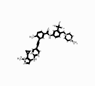 Cc1ccc(C(=O)Nc2ccc(CN3CCN(C)CC3)c(C(F)(F)F)c2)cc1C#Cc1cnc(Nc2cnn(C)c2C2CC2)nc1